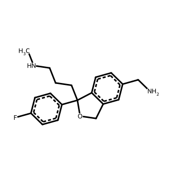 CNCCCC1(c2ccc(F)cc2)OCc2cc(CN)ccc21